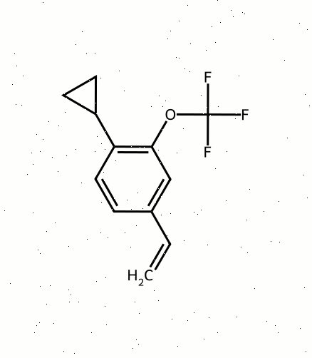 C=Cc1ccc(C2CC2)c(OC(F)(F)F)c1